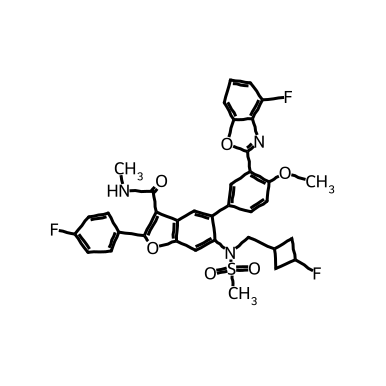 CNC(=O)c1c(-c2ccc(F)cc2)oc2cc(N(CC3CC(F)C3)S(C)(=O)=O)c(-c3ccc(OC)c(-c4nc5c(F)cccc5o4)c3)cc12